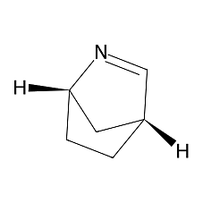 C1=N[C@H]2CC[C@@H]1C2